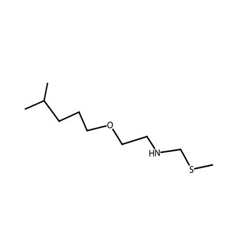 CSCNCCOCCCC(C)C